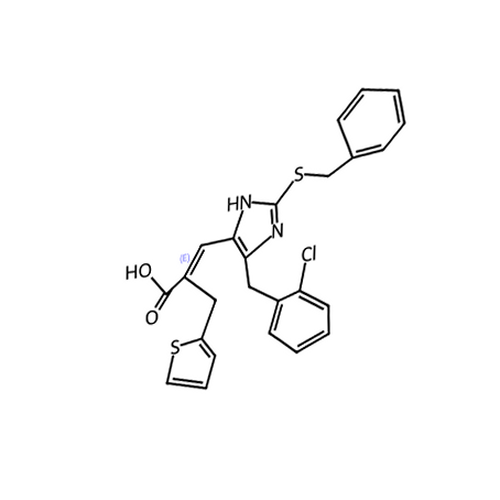 O=C(O)/C(=C/c1[nH]c(SCc2ccccc2)nc1Cc1ccccc1Cl)Cc1cccs1